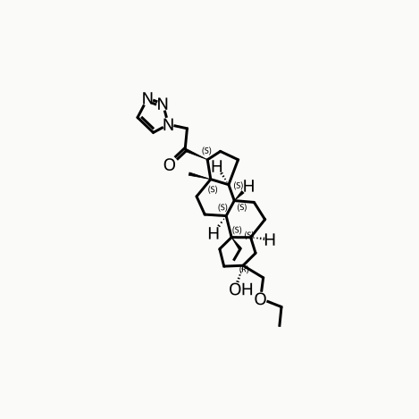 CCOC[C@@]1(O)CC[C@@]2(CC)[C@@H](CC[C@H]3[C@@H]4CC[C@H](C(=O)Cn5ccnn5)[C@@]4(C)CC[C@@H]32)C1